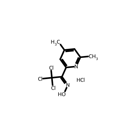 Cc1cc(C)nc(C(=NO)C(Cl)(Cl)Cl)c1.Cl